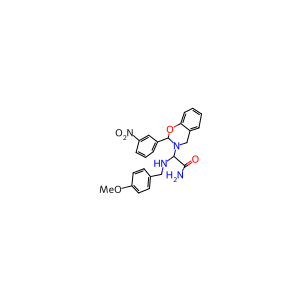 COc1ccc(CNC(C(N)=O)N2Cc3ccccc3OC2c2cccc([N+](=O)[O-])c2)cc1